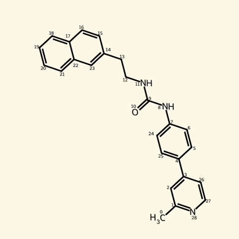 Cc1cc(-c2ccc(NC(=O)NCCc3ccc4ccccc4c3)cc2)ccn1